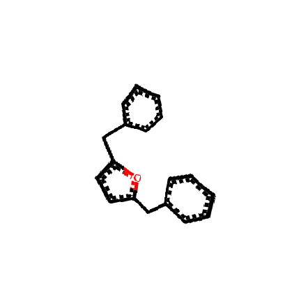 c1ccc(Cc2ccc(Cc3ccccc3)o2)cc1